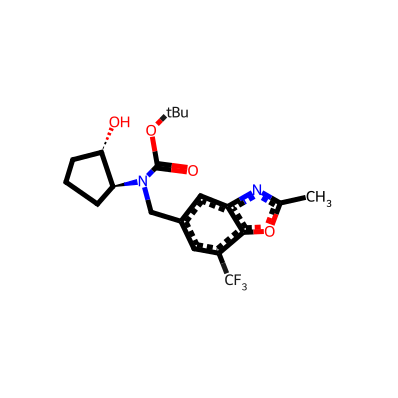 Cc1nc2cc(CN(C(=O)OC(C)(C)C)[C@H]3CCC[C@@H]3O)cc(C(F)(F)F)c2o1